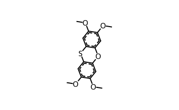 COc1cc2c(cc1OC)Sc1cc(OC)c(OC)cc1O2